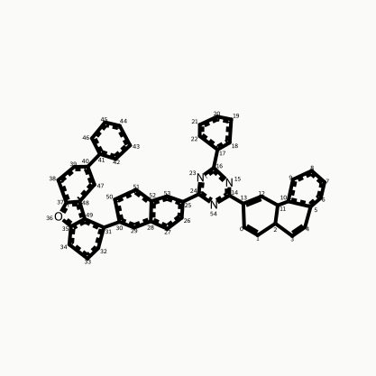 C1=CC2C=Cc3ccccc3C2C=C1c1nc(-c2ccccc2)nc(-c2ccc3cc(-c4cccc5oc6ccc(-c7ccccc7)cc6c45)ccc3c2)n1